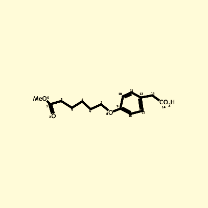 COC(=O)CCCCCOc1ccc(CC(=O)O)cc1